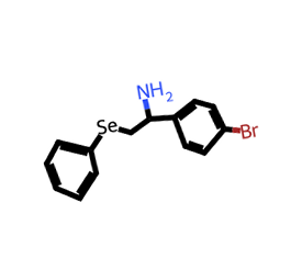 NC(C[Se]c1ccccc1)c1ccc(Br)cc1